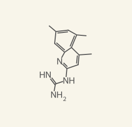 Cc1cc(C)c2c(C)cc(NC(=N)N)nc2c1